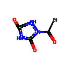 CCC(=O)n1[nH]c(=O)[nH]c1=O